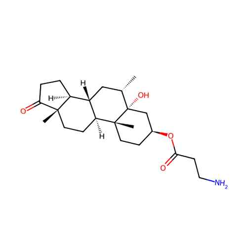 C[C@H]1C[C@H]2[C@@H]3CCC(=O)[C@@]3(C)CC[C@@H]2[C@@]2(C)CC[C@H](OC(=O)CCN)C[C@]12O